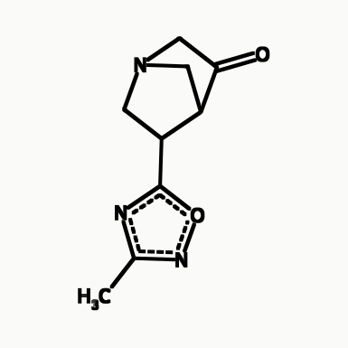 Cc1noc(C2CN3CC(=O)C2C3)n1